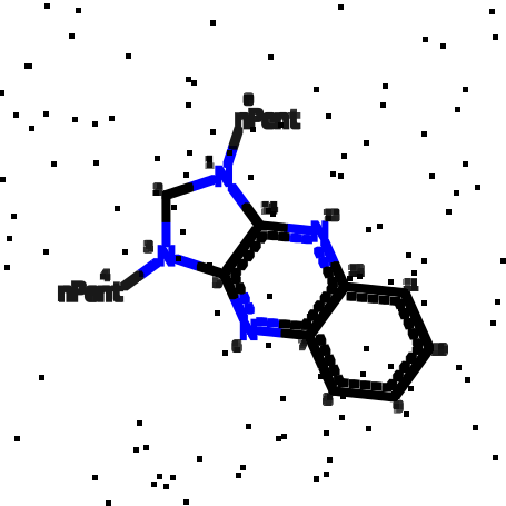 CCCCCN1CN(CCCCC)c2nc3ccccc3nc21